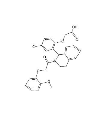 COc1ccccc1OCC(=O)N1CCc2ccccc2C1c1cc(Cl)ccc1OCC(=O)O